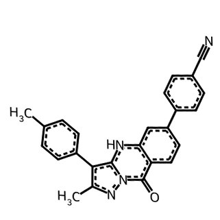 Cc1ccc(-c2c(C)nn3c(=O)c4ccc(-c5ccc(C#N)cc5)cc4[nH]c23)cc1